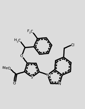 COC(=O)c1sc(-n2cnc3ccc(CCl)cc32)cc1OC(C)c1ccccc1C(F)(F)F